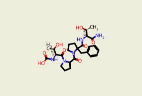 C[C@@H](O)[C@H](NC(=O)C1(Cc2ccccc2)CCCN1C(=O)C1CCCN1C(=O)[C@@H](NC(=O)O)[C@@H](C)O)C(N)=O